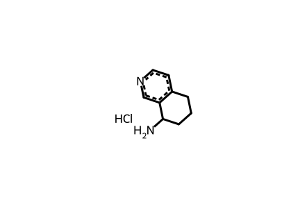 Cl.NC1CCCc2ccncc21